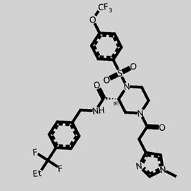 CCC(F)(F)c1ccc(CNC(=O)[C@H]2CN(C(=O)Cc3cn(C)cn3)CCN2S(=O)(=O)c2ccc(OC(F)(F)F)cc2)cc1